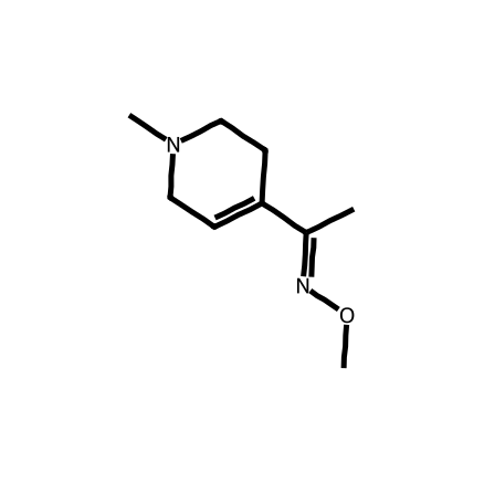 CO/N=C(\C)C1=CCN(C)CC1